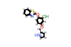 Cl.c1ccc2sc(Oc3ccc(OC[C@H]4CCCN4)cc3)nc2c1